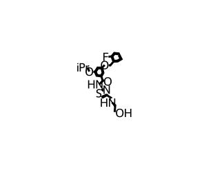 CC(C)Oc1cc(OCc2ccccc2F)cc(C(=O)Nc2nc(CNCCO)cs2)c1